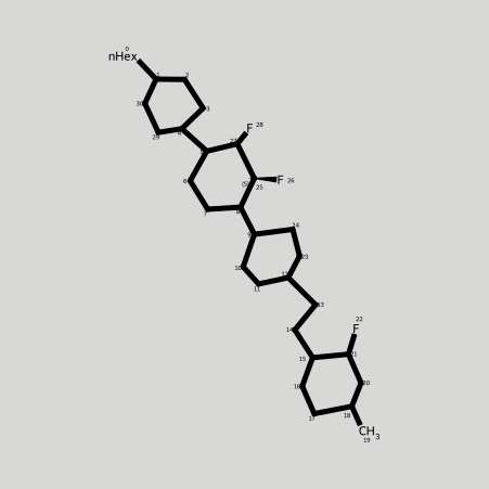 CCCCCCC1CCC(C2CCC(C3CCC(CCC4CCC(C)CC4F)CC3)[C@H](F)C2F)CC1